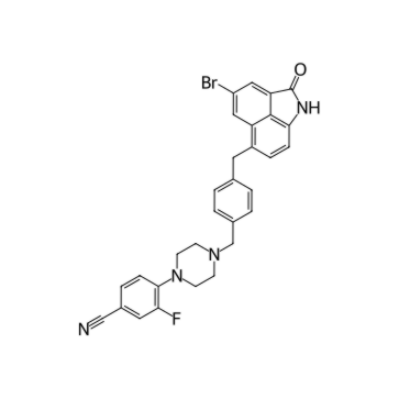 N#Cc1ccc(N2CCN(Cc3ccc(Cc4ccc5c6c(cc(Br)cc46)C(=O)N5)cc3)CC2)c(F)c1